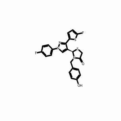 O=C1CS[C@H](c2cn(-c3ccc(F)cc3)nc2-c2ccc(F)s2)N1Cc1ccc(O)cc1